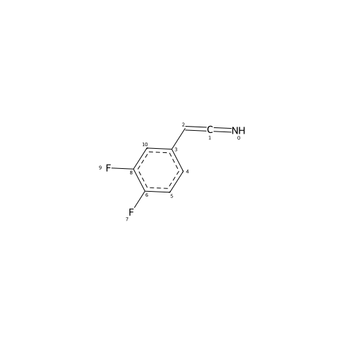 N=C=Cc1ccc(F)c(F)c1